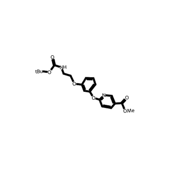 COC(=O)c1ccc(Oc2cccc(OCCNC(=O)OC(C)(C)C)c2)nc1